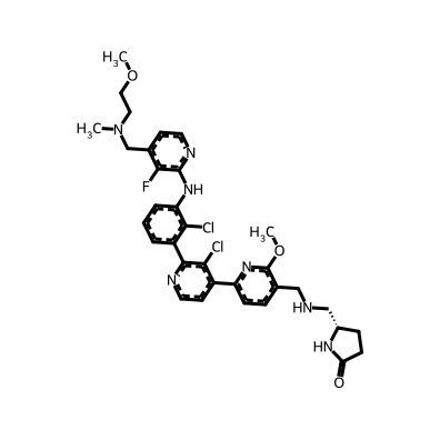 COCCN(C)Cc1ccnc(Nc2cccc(-c3nccc(-c4ccc(CNC[C@@H]5CCC(=O)N5)c(OC)n4)c3Cl)c2Cl)c1F